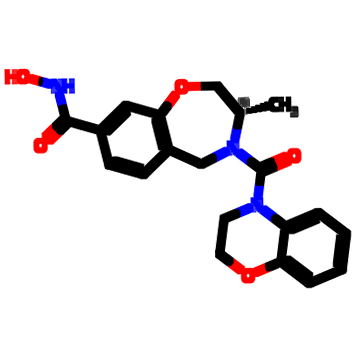 C[C@H]1COc2cc(C(=O)NO)ccc2CN1C(=O)N1CCOc2ccccc21